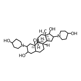 C[C@]12CC(N3CCC(O)CC3)C(O)CC1CC[C@@H]1[C@H]2CC[C@]2(C)C(O)C(N3CCC(O)CC3)C[C@@H]12